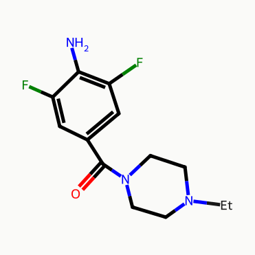 CCN1CCN(C(=O)c2cc(F)c(N)c(F)c2)CC1